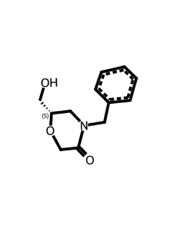 O=C1CO[C@H](CO)CN1Cc1ccccc1